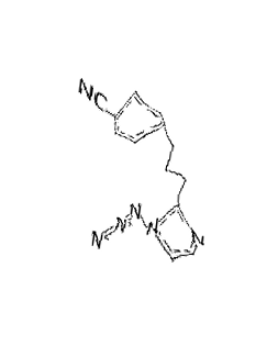 N#Cc1ccc(CCCc2nccn2N=[N+]=[N-])cc1